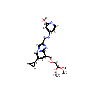 CCOC(COCc1cc(C2CC2)cn2cc(CNc3ccnc(Br)c3)nc12)OCC